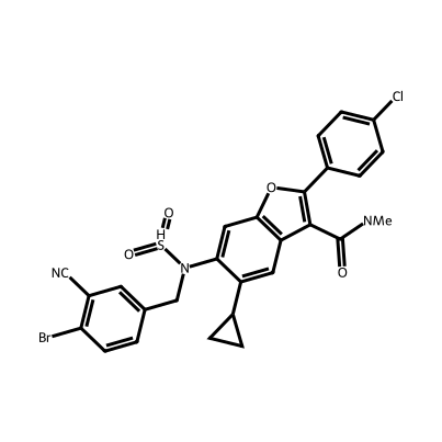 CNC(=O)c1c(-c2ccc(Cl)cc2)oc2cc(N(Cc3ccc(Br)c(C#N)c3)[SH](=O)=O)c(C3CC3)cc12